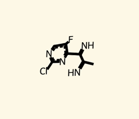 CC(=N)C(=N)c1nc(Cl)ncc1F